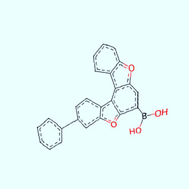 OB(O)c1cc2oc3ccccc3c2c2c1oc1cc(-c3ccccc3)ccc12